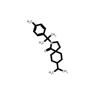 Cc1ccc(C(C)(C)N2CCC3(CCC(C(C)C)CC3)C2=O)cc1